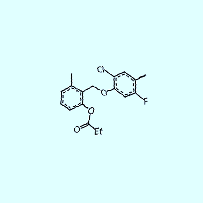 CCC(=O)Oc1cccc(C)c1COc1cc(F)c(C)cc1Cl